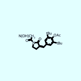 CC(=O)Oc1c(C(C)(C)C)cc(C=C2CCN(C(=O)N(C)O)C2=O)cc1C(C)(C)C